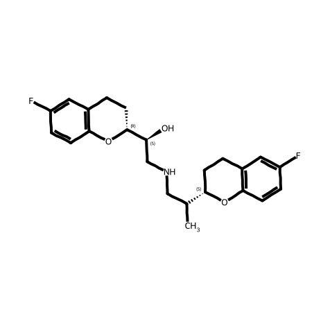 CC(CNC[C@H](O)[C@H]1CCc2cc(F)ccc2O1)[C@@H]1CCc2cc(F)ccc2O1